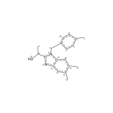 Cc1ccc(Cn2c(C(C)O)nc3cc(C)c(C)cc32)cc1